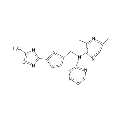 Cc1cnc(N(Cc2ccc(-c3noc(C(F)(F)F)n3)s2)c2cnccn2)c(C)n1